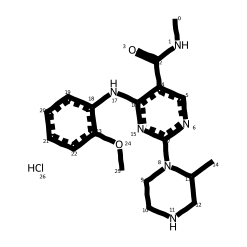 CNC(=O)c1cnc(N2CCNCC2C)nc1Nc1ccccc1OC.Cl